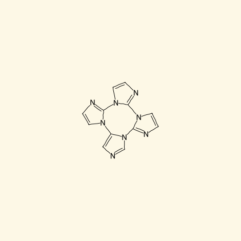 c1cn2c3cncn3c3nccn3c3nccn3c2n1